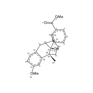 COC(=O)c1cccc([C@@]2(O)C3Cc4ccc(OC)cc4[C@@]2(C)CCN3C)c1